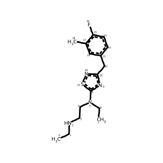 CCNCCN(CC)c1nc(Cc2ccc(F)c(C)c2)ns1